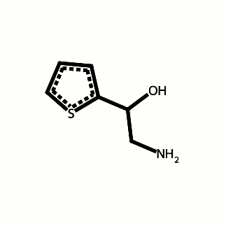 NCC(O)c1cccs1